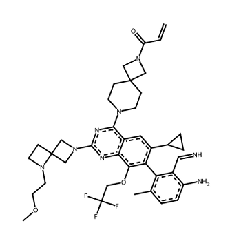 C=CC(=O)N1CC2(CCN(c3nc(N4CC5(CCN5CCOC)C4)nc4c(OCC(F)(F)F)c(-c5c(C)ccc(N)c5C=N)c(C5CC5)cc34)CC2)C1